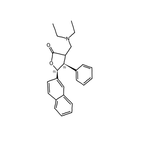 CCN(CC)CC1C(=O)O[C@H](c2ccc3ccccc3c2)[C@@H]1c1ccccc1